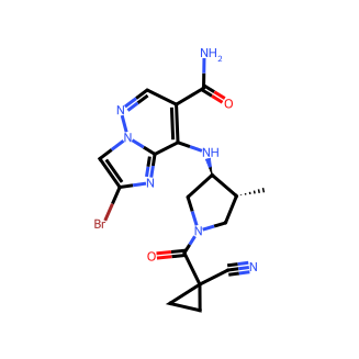 C[C@@H]1CN(C(=O)C2(C#N)CC2)C[C@H]1Nc1c(C(N)=O)cnn2cc(Br)nc12